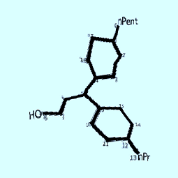 CCCCCC1CCC(C(CCO)C2CCC(CCC)CC2)CC1